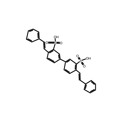 O=S(=O)(O)c1cc(-c2ccc(C=Cc3ccccc3)c(S(=O)(=O)O)c2)ccc1C=Cc1ccccc1